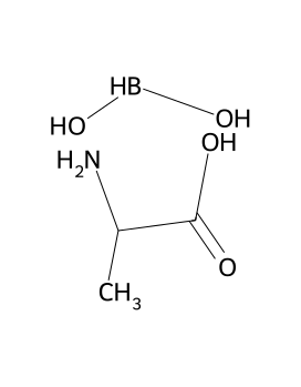 CC(N)C(=O)O.OBO